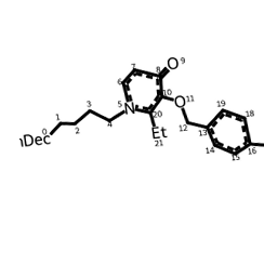 CCCCCCCCCCCCCCn1ccc(=O)c(OCc2ccc(O)cc2)c1CC